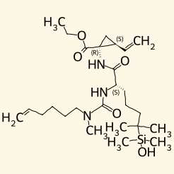 C=CCCCCN(C)C(=O)N[C@@H](CCCC(C)(C)[Si](C)(C)O)C(=O)N[C@]1(C(=O)OCC)C[C@H]1C=C